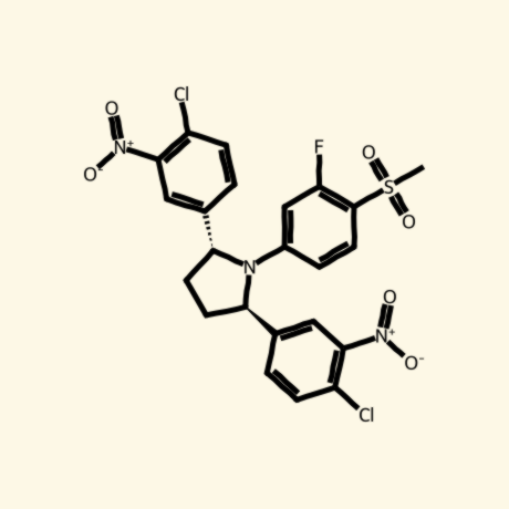 CS(=O)(=O)c1ccc(N2[C@@H](c3ccc(Cl)c([N+](=O)[O-])c3)CC[C@@H]2c2ccc(Cl)c([N+](=O)[O-])c2)cc1F